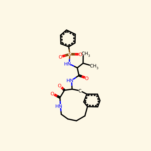 CC(C)C(NS(=O)(=O)c1ccccc1)C(=O)NC1Cc2cccc(c2)CCCCNC(=O)C1=O